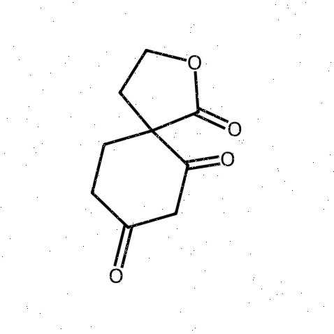 O=C1CCC2(CCOC2=O)C(=O)C1